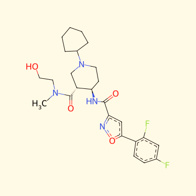 CN(CCO)C(=O)[C@@H]1CN(C2CCCCC2)CC[C@H]1NC(=O)c1cc(-c2ccc(F)cc2F)on1